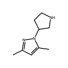 Cc1cc(C)n(C2CCNC2)n1